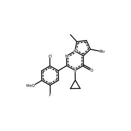 CCC(C)c1cc(C)n2nc(-c3cc(F)c(OC)cc3Cl)n(C3CC3)c(=O)c12